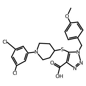 COc1ccc(Cn2nnc(C(=O)O)c2SC2CCN(c3cc(Cl)cc(Cl)c3)CC2)cc1